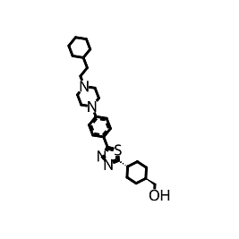 OC[C@H]1CC[C@H](c2nnc(-c3ccc(N4CCN(CCC5CCCCC5)CC4)cc3)s2)CC1